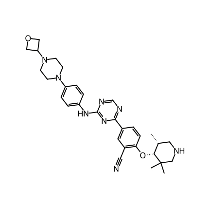 C[C@@H]1CNCC(C)(C)[C@@H]1Oc1ccc(-c2ncnc(Nc3ccc(N4CCN(C5COC5)CC4)cc3)n2)cc1C#N